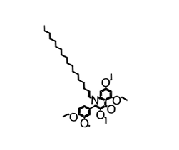 CCCCCCCCCCCCCCCCC=Cn1c(-c2ccc(OCC)c(OC)c2)c(OCC)c(=O)c2c(OCC)cc(OCC)cc21